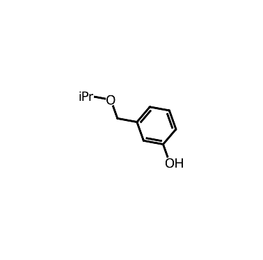 CC(C)OCc1cccc(O)c1